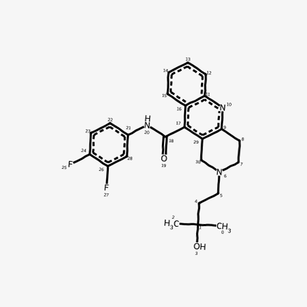 CC(C)(O)CCN1CCc2nc3ccccc3c(C(=O)Nc3ccc(F)c(F)c3)c2C1